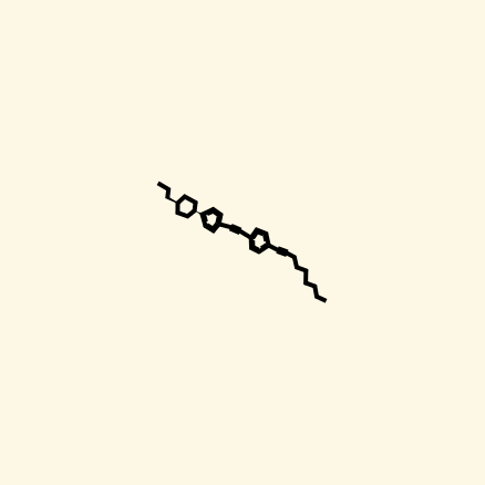 CCCCCCCC#Cc1ccc(C#Cc2ccc([C@H]3CC[C@H](CCC)CC3)cc2)cc1